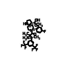 Cc1cc(F)ccc1[C@H]1C[C@@]2(CCN1C(=O)C(C)(N)[C@H](C)c1cc(C(F)(F)F)cc(C(F)(F)F)c1)NCC[C@@H]2C(=O)O